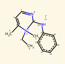 CC[N+]1(C)C(C)=CC=NC1Nc1ccccc1.[I-]